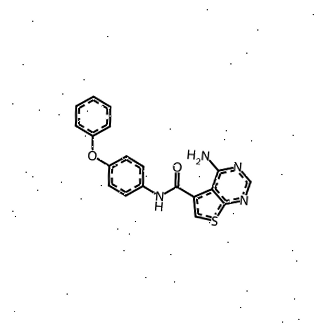 Nc1ncnc2scc(C(=O)Nc3ccc(Oc4ccccc4)cc3)c12